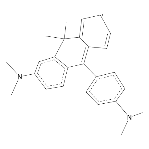 CN(C)c1ccc(C2=C3C=C[C]C=C3C(C)(C)c3cc(N(C)C)ccc32)cc1